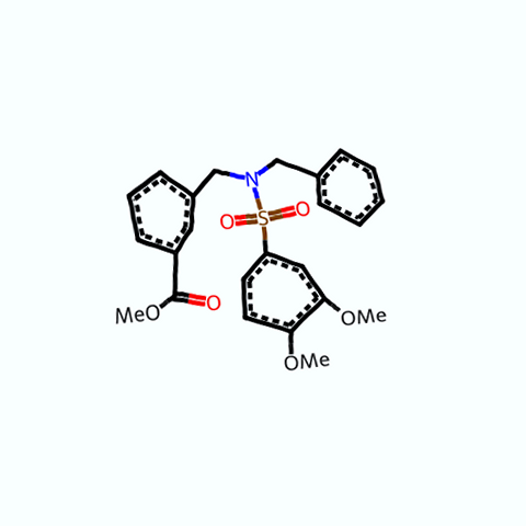 COC(=O)c1cccc(CN(Cc2ccccc2)S(=O)(=O)c2ccc(OC)c(OC)c2)c1